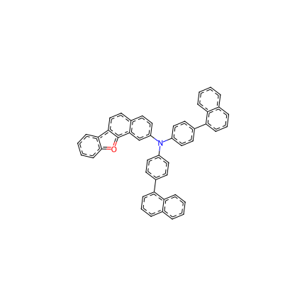 c1ccc2c(-c3ccc(N(c4ccc(-c5cccc6ccccc56)cc4)c4ccc5ccc6c7ccccc7oc6c5c4)cc3)cccc2c1